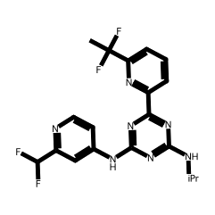 CC(C)Nc1nc(Nc2ccnc(C(F)F)c2)nc(-c2cccc(C(C)(F)F)n2)n1